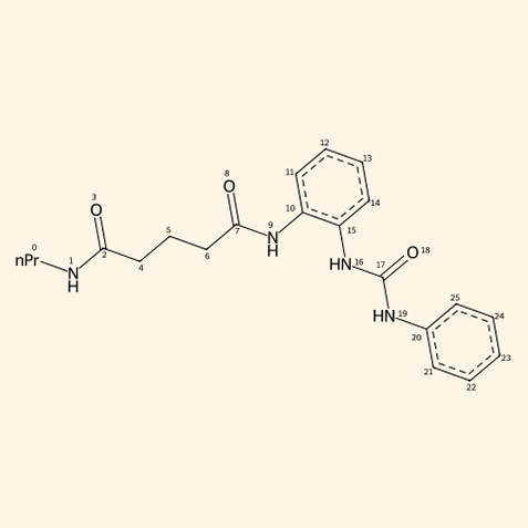 CCCNC(=O)CCCC(=O)Nc1ccccc1NC(=O)Nc1ccccc1